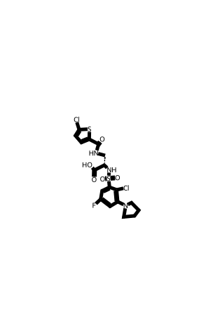 O=C(NC[C@H](NS(=O)(=O)c1cc(F)cc(N2CCCC2)c1Cl)C(=O)O)c1ccc(Cl)s1